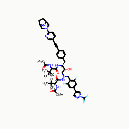 COC(=O)NC(C(=O)N[C@@H](Cc1ccc(C#Cc2ccc(N3CC4CCC(C3)N4)nc2)cc1)[C@@H](O)CN(Cc1c(F)cc(-c2cnn(C(F)F)c2)cc1F)NC(=O)[C@@H](NC(=O)OC)C(C)(C)C(F)(F)F)C(C)(C)C(F)(F)F